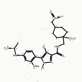 CCn1nc(C(=O)NCC2(C(=O)O)CCC(C[SH](=O)=O)CC2)c(Cl)c1-c1ccc(N[C@H](C)C(F)(F)F)cc1OC